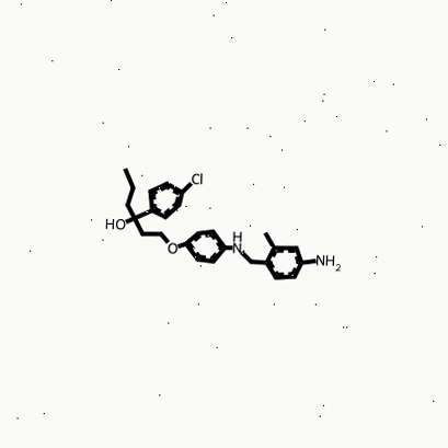 CCCC(O)(CCOc1ccc(NCc2ccc(N)cc2C)cc1)c1ccc(Cl)cc1